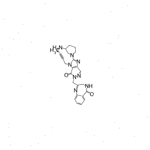 CC#CCn1c(N2CCCC(N)C2)nc2cnn(CC3=Nc4ccccc4C(=O)NC3)c(=O)c21